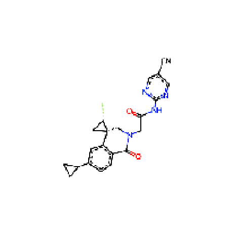 N#Cc1cnc(NC(=O)CN2C[C@@]3(C[C@@H]3F)c3cc(C4CC4)ccc3C2=O)nc1